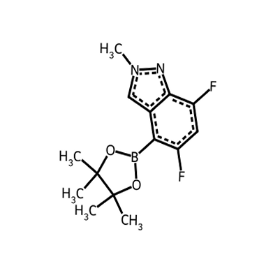 Cn1cc2c(B3OC(C)(C)C(C)(C)O3)c(F)cc(F)c2n1